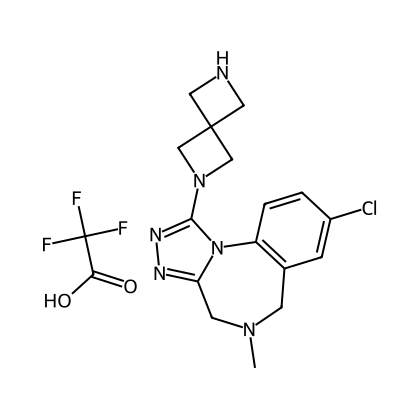 CN1Cc2cc(Cl)ccc2-n2c(nnc2N2CC3(CNC3)C2)C1.O=C(O)C(F)(F)F